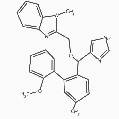 COc1ccccc1-c1cc(C)ccc1C(OCc1nc2ccccc2n1C)c1c[nH]cn1